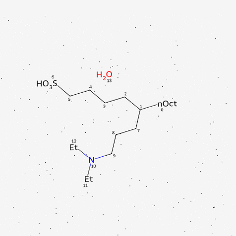 CCCCCCCCC(CCCCS(=O)(=O)O)CCCN(CC)CC.O